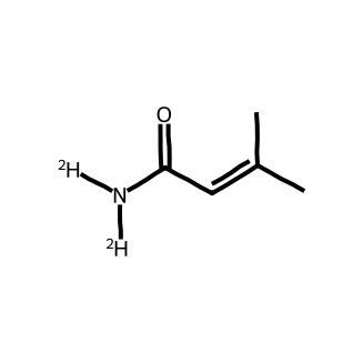 [2H]N([2H])C(=O)C=C(C)C